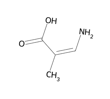 CC(=CN)C(=O)O